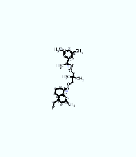 C/C(=N\OCC(C)(C)CO/N=C1\CCCc2c(CF)cc(C)nc21)c1cc(C)cc(C)n1